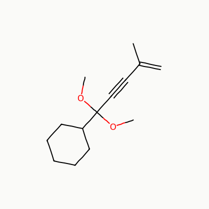 C=C(C)C#CC(OC)(OC)C1CCCCC1